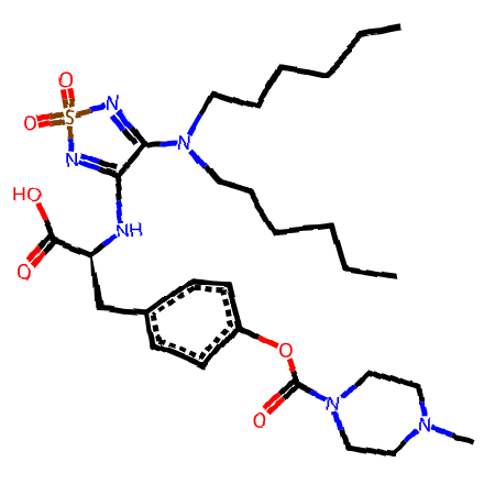 CCCCCCN(CCCCCC)C1=NS(=O)(=O)N=C1N[C@@H](Cc1ccc(OC(=O)N2CCN(C)CC2)cc1)C(=O)O